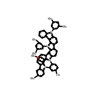 CC(C)(C)c1cc(-n2c3ccccc3c3c2ccc2c4ccc5c(c6ccccc6n5-c5ccc(C#N)cc5-n5c6ccc(C(C)(C)C)cc6c6cc(C(C)(C)C)ccc65)c4n(-c4cc(C(C)(C)C)cc(C(C)(C)C)c4)c23)cc(C(C)(C)C)c1